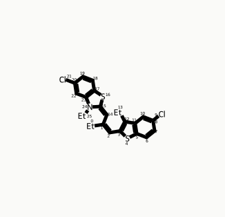 CCC(=Cc1sc2ccc(Cl)cc2c1CC)C=C1Sc2ccc(Cl)cc2N1CC